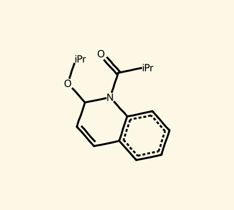 CC(C)OC1C=Cc2ccccc2N1C(=O)C(C)C